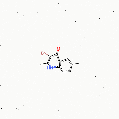 Cc1ccc2[nH]c(C)c(Br)c(=O)c2c1